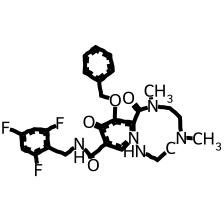 CN1CCNn2cc(C(=O)NCc3c(F)cc(F)cc3F)c(=O)c(OCc3ccccc3)c2C(=O)N(C)CC1